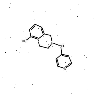 Oc1cccc2c1CCN(Nc1ccncc1)C2